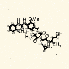 COc1cc(CN2C(=O)N([C@@H](CC3CC3)C(=O)N[C@H](C)CCO)C(=O)C2(C)C)ccc1NC(=O)Nc1ccccc1C